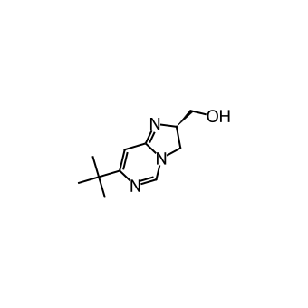 CC(C)(C)C1=CC2=N[C@@H](CO)CN2C=N1